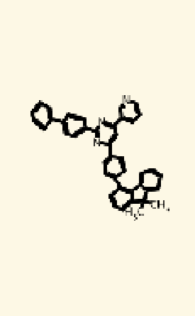 CC1(C)c2ccccc2-c2c(-c3ccc(-c4cc(-c5cccnc5)nc(-c5ccc(-c6ccccc6)cc5)n4)cc3)cccc21